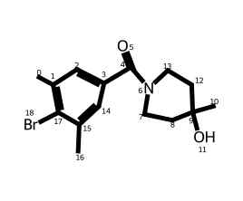 Cc1cc(C(=O)N2CCC(C)(O)CC2)cc(C)c1Br